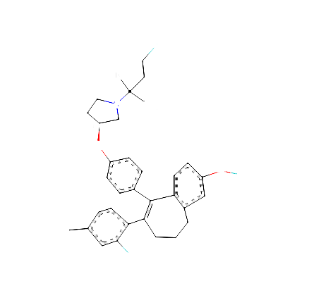 BC(B)(CCF)N1CC[C@H](Oc2ccc(C3=C(c4ccc(C)cc4F)CCCc4cc(OF)ccc43)cc2)C1